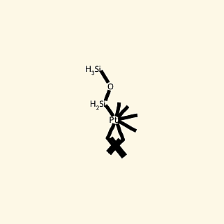 C=[CH][Pt]([CH3])([CH3])([CH3])([CH3])([CH]=C)[SiH2]O[SiH3]